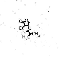 C=C(C)C(=O)OC1COC(=O)C1CC